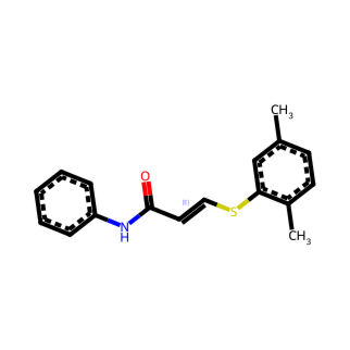 Cc1ccc(C)c(S/C=C/C(=O)Nc2ccccc2)c1